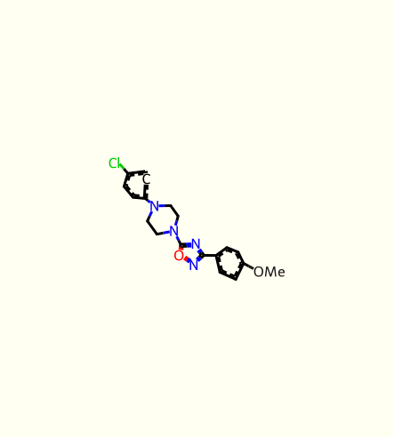 COc1ccc(-c2noc(N3CCN(c4ccc(Cl)cc4)CC3)n2)cc1